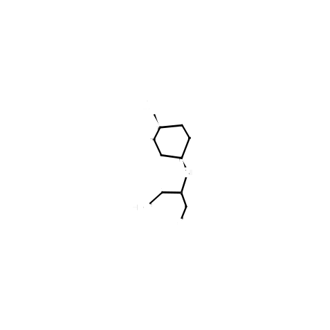 CCC(CC)N[C@H]1CC[C@@H](O)CC1